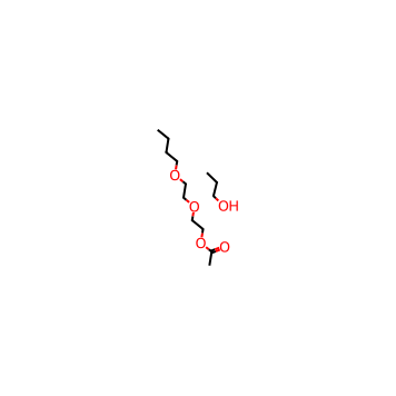 CCCCOCCOCCOC(C)=O.CCCO